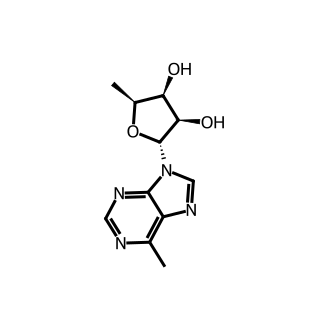 Cc1ncnc2c1ncn2[C@@H]1O[C@@H](C)[C@@H](O)[C@H]1O